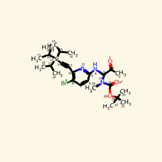 CC(=O)C(Nc1ccc(Br)c(C#C[Si](C(C)C)(C(C)C)C(C)C)n1)N(C)C(=O)OC(C)(C)C